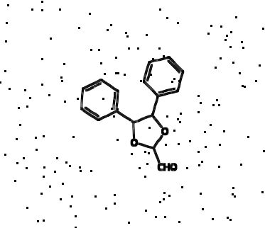 O=CC1OC(c2ccccc2)C(c2ccccc2)O1